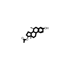 CC(=O)O[C@H]1CCC2C3C(CC[C@@]21C)c1ccc(O)cc1C[C@@H]3C